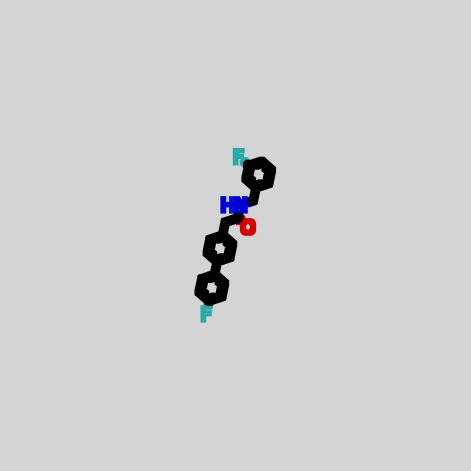 O=C(Cc1ccc(-c2ccc(F)cc2)cc1)NCc1cccc(F)c1